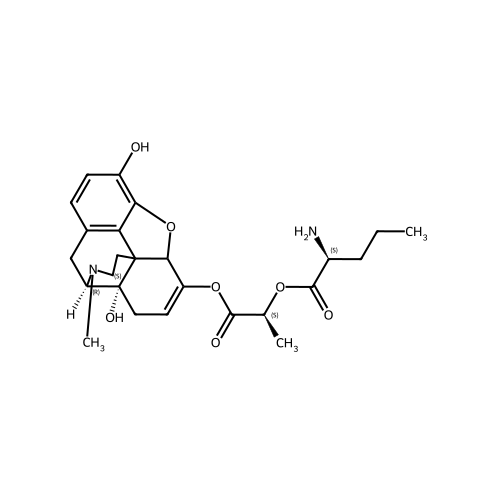 CCC[C@H](N)C(=O)O[C@@H](C)C(=O)OC1=CC[C@@]2(O)[C@H]3Cc4ccc(O)c5c4C2(CCN3C)C1O5